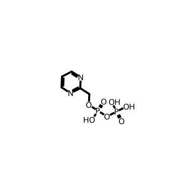 O=P(O)(O)OP(=O)(O)OCc1ncccn1